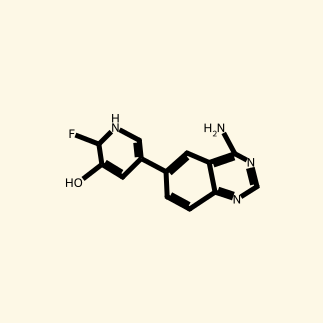 Nc1ncnc2ccc(C3=CNC(F)C(O)=C3)cc12